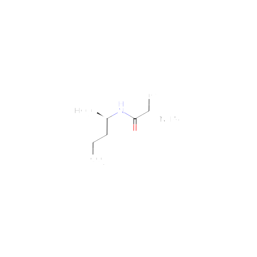 CC(=O)N[C@H](C(=O)N[C@@H](CCC(=O)O)C(=O)O)C(C)C